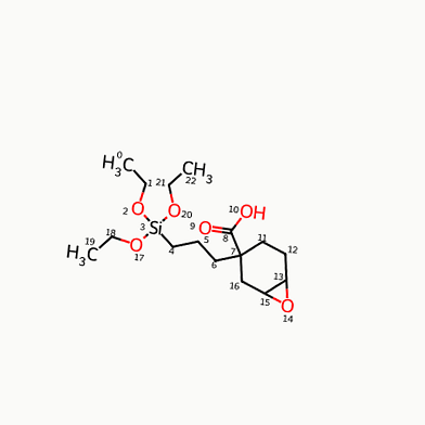 CCO[Si](CCCC1(C(=O)O)CCC2OC2C1)(OCC)OCC